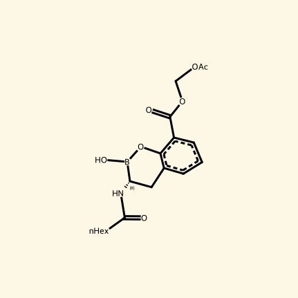 CCCCCCC(=O)N[C@H]1Cc2cccc(C(=O)OCOC(C)=O)c2OB1O